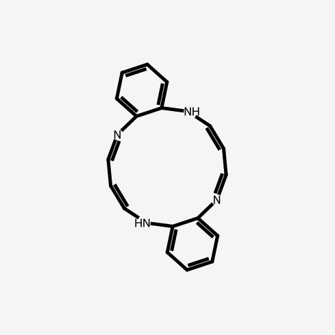 C1=C\Nc2ccccc2/N=C\C=C/Nc2ccccc2\N=C/1